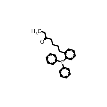 CCC(=O)CCCCc1ccccc1P(c1ccccc1)c1ccccc1